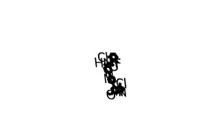 COc1cc(-c2ccc(N3CCC(C)(NC(=O)c4c(F)cccc4Cl)CC3)nc2)c2c(Cl)cnn2c1